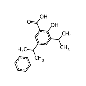 CC(C)c1cc(C(=O)O)c(O)c(C(C)C)c1.c1ccccc1